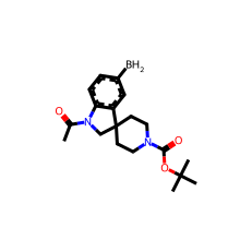 Bc1ccc2c(c1)C1(CCN(C(=O)OC(C)(C)C)CC1)CN2C(C)=O